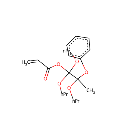 C=CC(=O)OC(OCCC)(OCCC)C(C)(OCCC)Oc1ccccc1